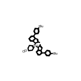 CC1=Cc2c(-c3ccc(C(C)(C)C)cc3)cccc2[CH]1[Zr+2]1([CH]2C(C)=Cc3c(-c4ccc(C(C)(C)C)cc4)cccc32)[CH]2CCCC[CH]21.[Cl-].[Cl-]